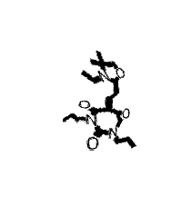 CCCN1C(=O)/C(=C/C=C2/OCC(C)(C)N2CC)C2OC2N(CCC)C1=O